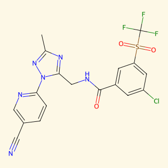 Cc1nc(CNC(=O)c2cc(Cl)cc(S(=O)(=O)C(F)(F)F)c2)n(-c2ccc(C#N)cn2)n1